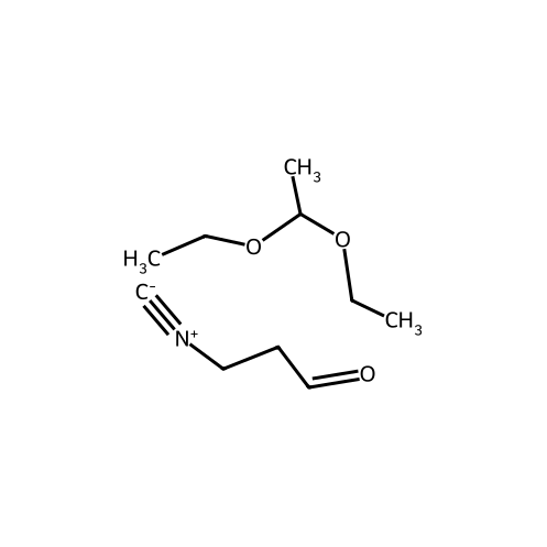 CCOC(C)OCC.[C-]#[N+]CCC=O